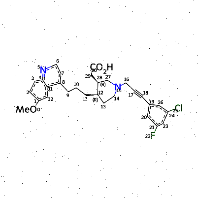 COc1ccc2nccc(CCC[C@@H]3CCN(CC#Cc4cc(F)cc(Cl)c4)C[C@@H]3CC(=O)O)c2c1